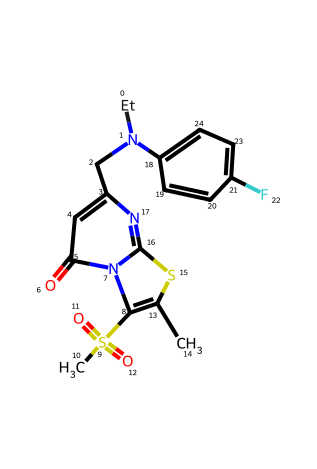 CCN(Cc1cc(=O)n2c(S(C)(=O)=O)c(C)sc2n1)c1ccc(F)cc1